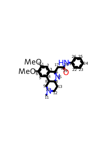 COc1cc2c(cc1OC)C1CN(C)CCC1N=C2CC(=O)Nc1ccccc1